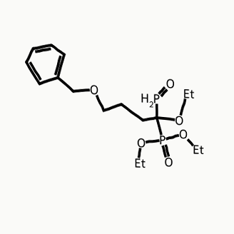 CCOC(CCCOCc1ccccc1)([PH2]=O)P(=O)(OCC)OCC